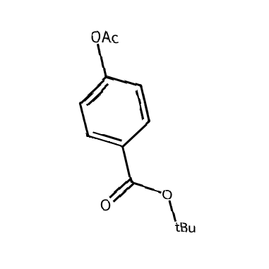 CC(=O)Oc1ccc(C(=O)OC(C)(C)C)cc1